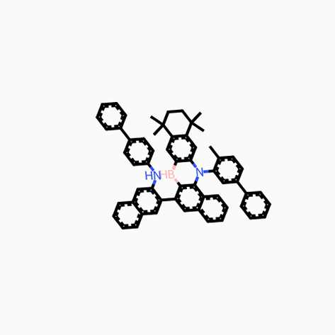 Cc1ccc(-c2ccccc2)cc1N1c2cc3c(cc2Bc2c(-c4cc5ccccc5cc4Nc4ccc(-c5ccccc5)cc4)cc4ccccc4c21)C(C)(C)CCC3(C)C